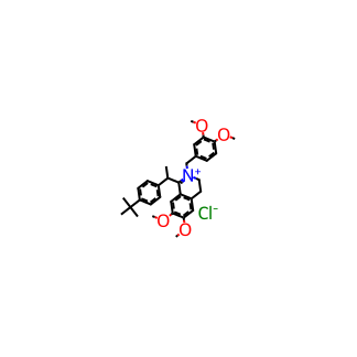 COc1ccc(C[N+]2=C(C(C)c3ccc(C(C)(C)C)cc3)c3cc(OC)c(OC)cc3CC2)cc1OC.[Cl-]